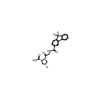 O=C(NCC(=O)N1C[C@H](F)C[C@H]1C(=O)O)c1ccc2c(c1)-c1ccccc1C2(F)F